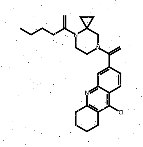 C=C(c1ccc2c(Cl)c3c(nc2c1)CCCC3)N1CCN(C(=C)CCCC)C2(CC2)C1